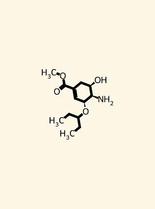 CCC(CC)O[C@@H]1C=C(C(=O)OC)C[C@@H](O)[C@H]1N